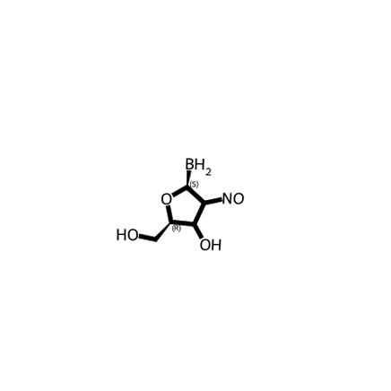 B[C@@H]1O[C@H](CO)C(O)C1N=O